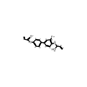 C=CC(=O)Oc1ccc(-c2ccc(OC(O)C=C)c(F)c2)cc1